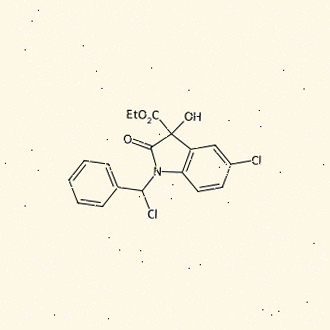 CCOC(=O)C1(O)C(=O)N(C(Cl)c2ccccc2)c2ccc(Cl)cc21